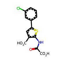 O=C(O)C(=O)Nc1sc(-c2cccc(Cl)c2)cc1C(=O)O